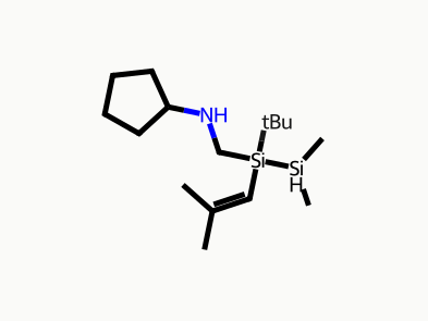 CC(C)=C[Si](CNC1CCCC1)([SiH](C)C)C(C)(C)C